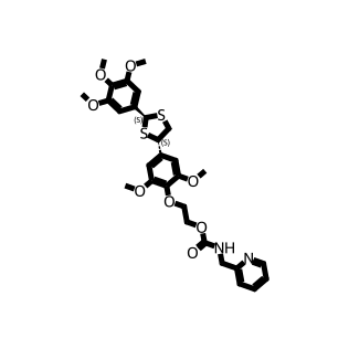 COc1cc([C@H]2SC[C@H](c3cc(OC)c(OCCOC(=O)NCc4ccccn4)c(OC)c3)S2)cc(OC)c1OC